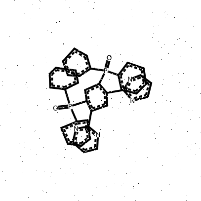 O=P(c1ccccc1)(c1ccccc1)c1cc(P(=O)(c2ccccc2)c2ccccc2)c(-c2ncccn2)cc1-c1ncccn1